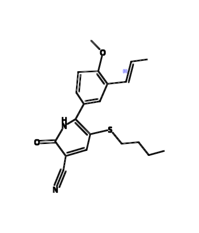 C/C=C/c1cc(-c2[nH]c(=O)c(C#N)cc2SCCCC)ccc1OC